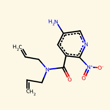 C=CCN(CC=C)C(=O)c1cc(N)cnc1[N+](=O)[O-]